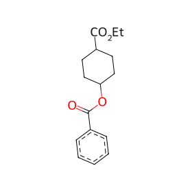 CCOC(=O)C1CCC(OC(=O)c2ccccc2)CC1